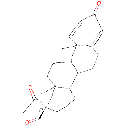 CC(=O)[C@@]1(C=O)CCC2C3CCC4=CC(=O)C=CC4(C)C3CCC21C